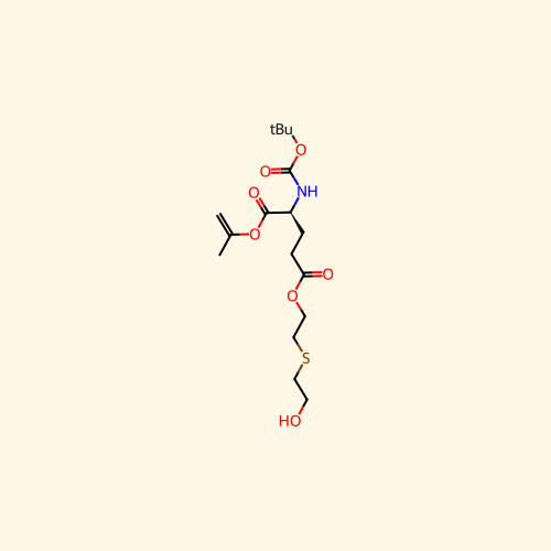 C=C(C)OC(=O)[C@H](CCC(=O)OCCSCCO)NC(=O)OC(C)(C)C